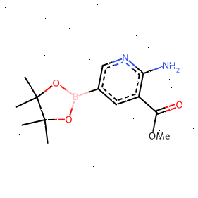 COC(=O)c1cc(B2OC(C)(C)C(C)(C)O2)cnc1N